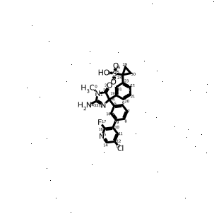 CN1C(=O)C(c2cccc(-c3cc(Cl)cnc3F)c2)(c2cccc(C3(S(=O)(=O)O)CC3)c2)N=C1N